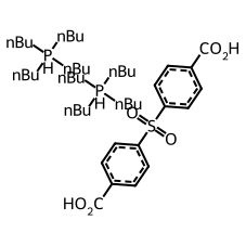 CCCC[PH](CCCC)(CCCC)CCCC.CCCC[PH](CCCC)(CCCC)CCCC.O=C(O)c1ccc(S(=O)(=O)c2ccc(C(=O)O)cc2)cc1